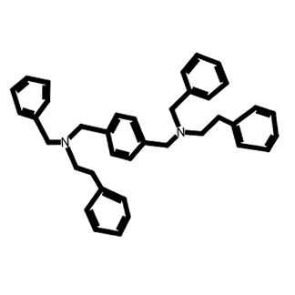 c1ccc(CCN(Cc2ccccc2)Cc2ccc(CN(CCc3ccccc3)Cc3ccccc3)cc2)cc1